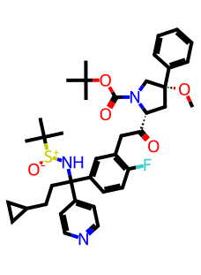 CO[C@]1(c2ccccc2)C[C@H](C(=O)Cc2cc(C(CCC3CC3)(N[S@@+]([O-])C(C)(C)C)c3ccncc3)ccc2F)N(C(=O)OC(C)(C)C)C1